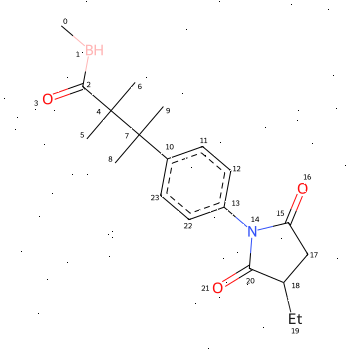 CBC(=O)C(C)(C)C(C)(C)c1ccc(N2C(=O)CC(CC)C2=O)cc1